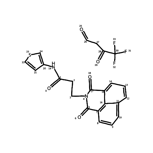 O=C(CCN1C(=O)c2cccc3cccc(c23)C1=O)Nc1ccsc1.O=CCC(=O)C(F)(F)F